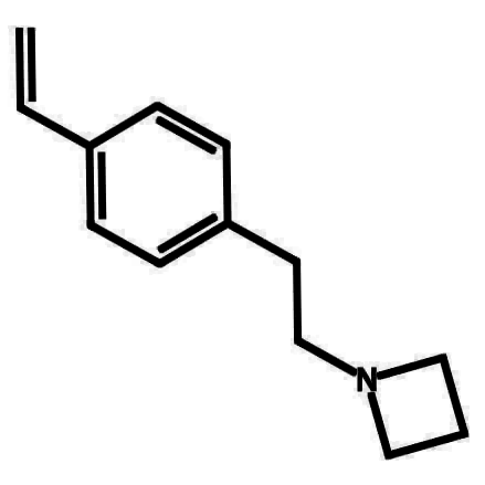 C=Cc1ccc(CCN2CCC2)cc1